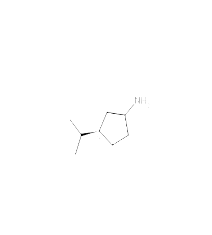 CC(C)[C@@H]1CCC(N)C1